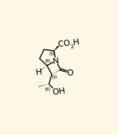 C[C@@H](O)[C@H]1C(=O)N2[C@@H]1CC[C@H]2C(=O)O